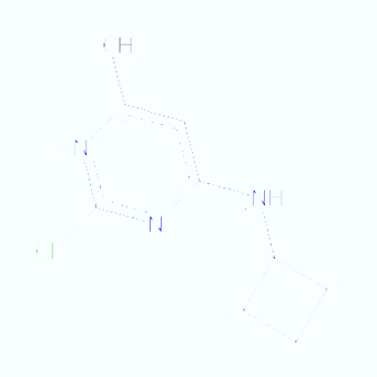 Cc1cc(NC2CCC2)nc(Cl)n1